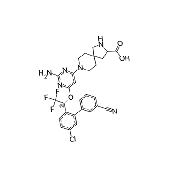 N#Cc1cccc(-c2cc(Cl)ccc2[C@@H](Oc2cc(N3CCC4(CC3)CNC(C(=O)O)C4)nc(N)n2)C(F)(F)F)c1